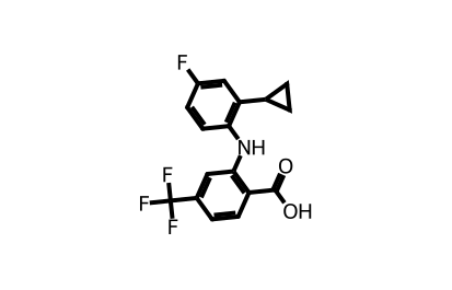 O=C(O)c1ccc(C(F)(F)F)cc1Nc1ccc(F)cc1C1CC1